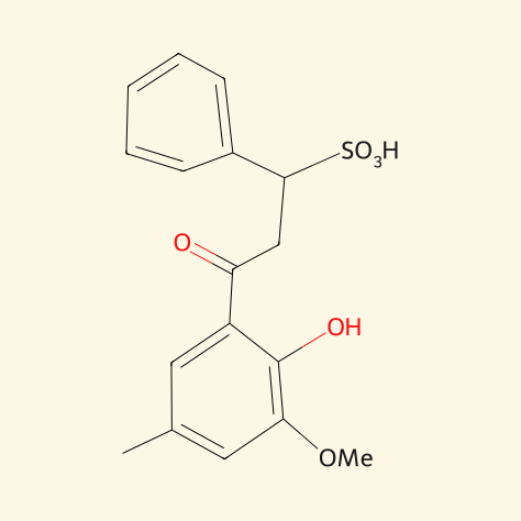 COc1cc(C)cc(C(=O)CC(c2ccccc2)S(=O)(=O)O)c1O